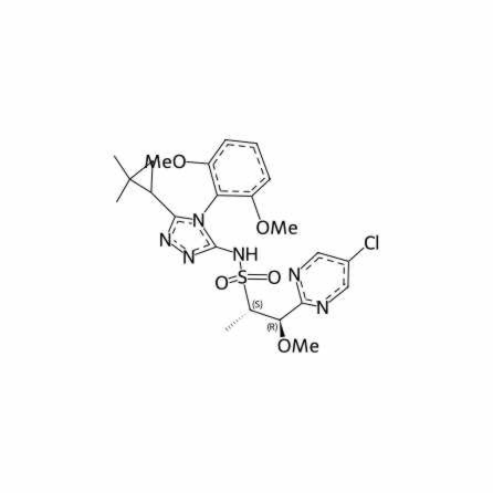 COc1cccc(OC)c1-n1c(NS(=O)(=O)[C@@H](C)[C@H](OC)c2ncc(Cl)cn2)nnc1C1CC1(C)C